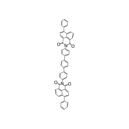 O=C1c2cccc3c(-c4ccccc4)ccc(c23)C(=O)N1c1ccc(-c2ccc(-c3ccc(N4C(=O)c5cccc6c(-c7ccccc7)ccc(c56)C4=O)cc3)cc2)cc1